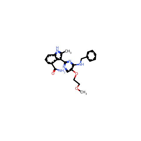 COCCOc1cnc(-c2c(C)[nH]c3cccc(C(N)=O)c23)nc1NCc1ccccc1